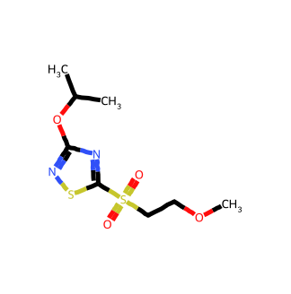 COCCS(=O)(=O)c1nc(OC(C)C)ns1